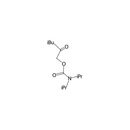 CCC(C)C(=O)COC(=O)N(C(C)C)C(C)C